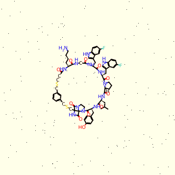 CC(C)C[C@@H]1NC(=O)[C@@H]2CCCN2C(=O)[C@H](Cc2c[nH]c3ccc(F)cc23)NC(=O)[C@H](Cc2c[nH]c3ccc(F)cc23)NC(=O)CNC(=O)[C@H](CCCCN)NC(=O)CCSCc2cccc(c2)CSCC23NC(=O)C24N(CCN4C3=O)C(=O)[C@H](Cc2ccc(O)cc2)NC1=O